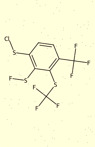 FSc1c(SCl)ccc(C(F)(F)F)c1SC(F)(F)F